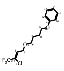 FC(F)(F)C(Cl)=CCOCCCCOc1ccccc1